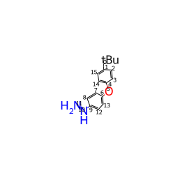 CC(C)(C)c1ccc(Oc2ccc(NN)cc2)cc1